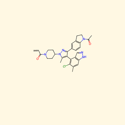 C=CC(=O)N1CCC(n2nc(-c3ccc4c(c3)CCN4C(C)=O)c(-c3c(Cl)c(C)cc4[nH]ncc34)c2C)CC1